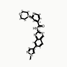 Cn1cc(-c2ccc3cnc(NC(=O)c4ccnc(N5CCOCC5)c4)nc3c2)cn1